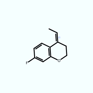 C/C=C1/CCOc2cc(F)ccc21